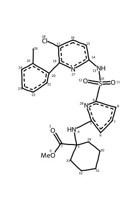 COC(=O)C1(Nc2cccc(S(=O)(=O)Nc3ccc(Cl)c(-c4ccccc4C)n3)n2)CCCCC1